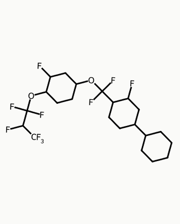 FC1CC(OC(F)(F)C2CCC(C3CCCCC3)CC2F)CCC1OC(F)(F)C(F)C(F)(F)F